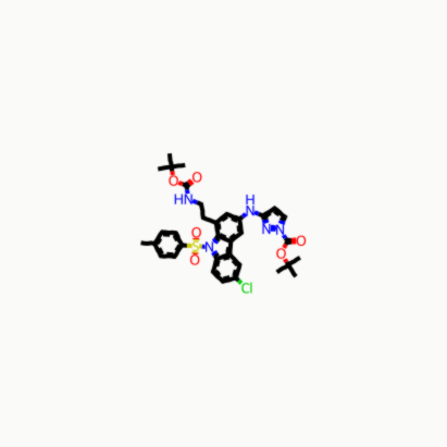 Cc1ccc(S(=O)(=O)n2c3ccc(Cl)cc3c3cc(Nc4ccn(C(=O)OC(C)(C)C)n4)cc(CCNC(=O)OC(C)(C)C)c32)cc1